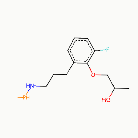 CPNCCCc1cccc(F)c1OCC(C)O